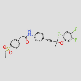 CCS(=O)(=O)c1ccc(CC(=O)Nc2ccc(C#CC(C)(C)Oc3cc(F)c(F)cc3F)cc2)cc1